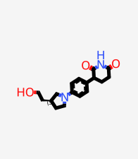 O=C1CCC(c2ccc(N3CC[C@@H](CCO)C3)cc2)C(=O)N1